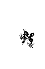 COc1ccc2c(c1)C1CN(C(=O)N(C)C)CC1(C(=O)N1C[C@@H](C)O[C@@H](C)C1)Cn1c-2c(C2CCCCC2)c2ccc(C(=O)NS(=O)(=O)N(C)C)cc21